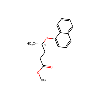 CC(C)(C)OC(=O)CC[C@@H](Oc1cccc2ccccc12)C(=O)O